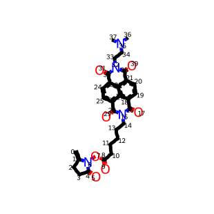 C=C1CCC(=O)N1OC(=O)CCCCCN1C(=O)c2ccc3c4c(ccc(c24)C1=O)C(=O)N(CCN(C)C)C3=O